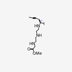 CC#C/C=C(/I)NCCNCCNCC(=O)OC